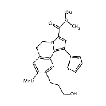 COc1cc2c(cc1CCCO)-c1c(-c3cccs3)cc(C(=O)N(C)C(C)(C)C)n1CC2